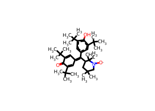 CC1(C)CC(C(=C2C=C(C(C)(C)C)C(=O)C(C(C)(C)C)=C2)c2cc(C(C)(C)C)c(O)c(C(C)(C)C)c2)C(C)(C)N([O])C1